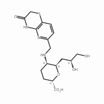 O=C1CSc2ccc(CN[C@@H]3CC[C@@H](C(=O)O)O[C@@H]3C[C@H](O)CO)nc2N1